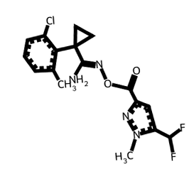 Cc1cccc(Cl)c1C1(/C(N)=N/OC(=O)c2cc(C(F)F)n(C)n2)CC1